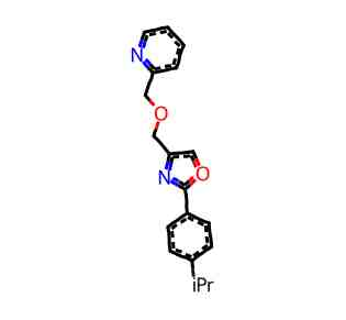 CC(C)c1ccc(-c2nc(COCc3ccccn3)co2)cc1